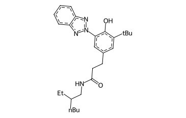 CCCCC(CC)CNC(=O)CCc1cc(-n2nc3ccccc3n2)c(O)c(C(C)(C)C)c1